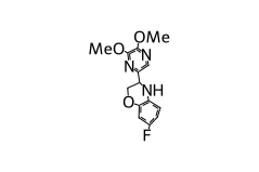 COc1ncc(C2COc3cc(F)ccc3N2)nc1OC